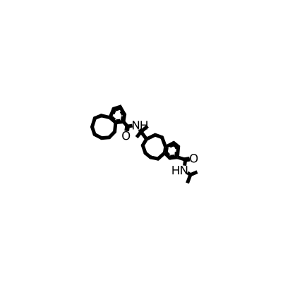 CC(C)NC(=O)c1ccc2c(c1)CCCCC(C(C)(C)NC(=O)c1cccc3c1CCCCCCC3)CC2